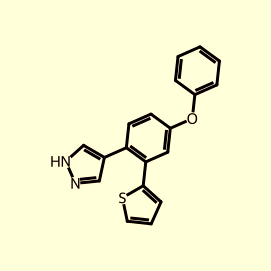 c1ccc(Oc2ccc(-c3cn[nH]c3)c(-c3cccs3)c2)cc1